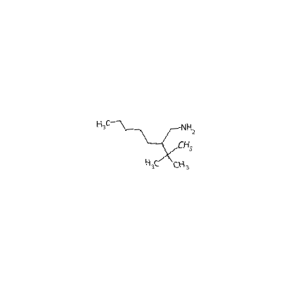 CCCCCC(CN)C(C)(C)C